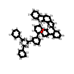 c1ccc(-c2nc(-c3ccccc3)nc(-c3cccc(-c4ccc(-n5c6ccccc6c6ccc7cc8c9ccccc9c9ccccc9n8c7c65)cc4)c3)n2)cc1